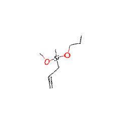 C=CC[Si](C)(OC)OCCC